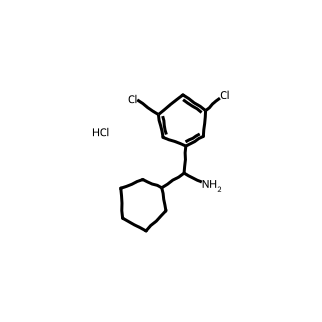 Cl.NC(c1cc(Cl)cc(Cl)c1)C1CCCCC1